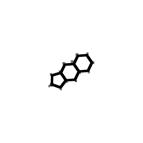 C1CCC2CC3COCC3CC2C1